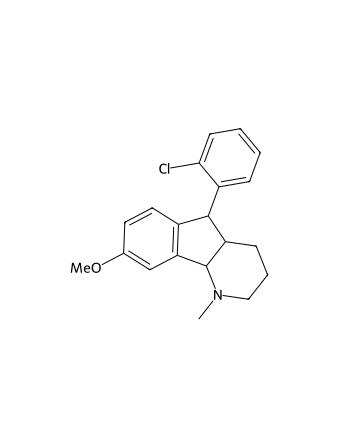 COc1ccc2c(c1)C1C(CCCN1C)C2c1ccccc1Cl